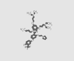 CCCCn1c(-c2ccc(Oc3ccc(F)c(C(F)(F)F)c3)cc2OCCN2CCCC2)nc2c(OCCCN(CC)CC)cc(OCCCN(CC)CC)cc21